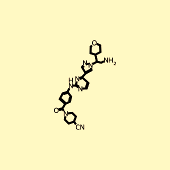 N#CC1CCN(C(=O)c2ccc(Nc3nccc(-c4cnn(C(CN)C5CCOCC5)c4)n3)cc2)CC1